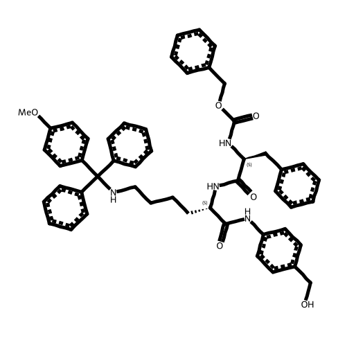 COc1ccc(C(NCCCC[C@H](NC(=O)[C@H](Cc2ccccc2)NC(=O)OCc2ccccc2)C(=O)Nc2ccc(CO)cc2)(c2ccccc2)c2ccccc2)cc1